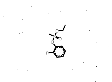 CCOP(C)(=O)Oc1ccccc1F